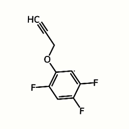 C#CCOc1[c]c(F)c(F)cc1F